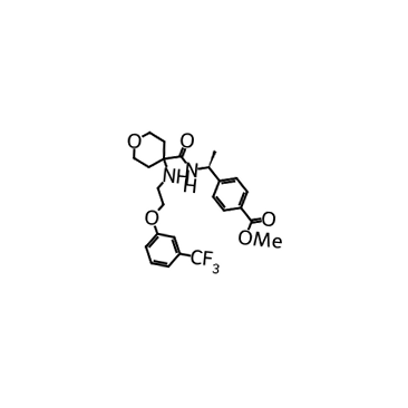 COC(=O)c1ccc([C@H](C)NC(=O)C2(NCCOc3cccc(C(F)(F)F)c3)CCOCC2)cc1